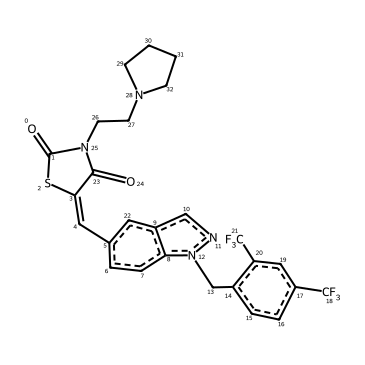 O=C1SC(=Cc2ccc3c(cnn3Cc3ccc(C(F)(F)F)cc3C(F)(F)F)c2)C(=O)N1CCN1CCCC1